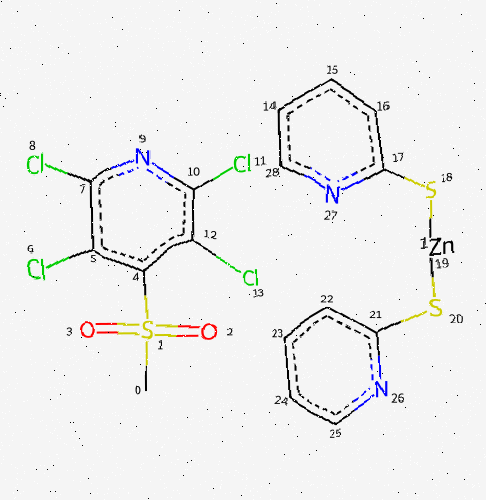 CS(=O)(=O)c1c(Cl)c(Cl)nc(Cl)c1Cl.c1ccc([S][1Zn][S]c2ccccn2)nc1